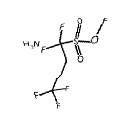 N.O=S(=O)(OF)C(F)(F)CCC(F)(F)F